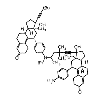 CC(C)N(c1ccc([C@H]2C[C@@]3(C)[C@@H](CC[C@@]3(O)C#CC(C)(C)C)[C@@H]3CCC4=CC(=O)CCC4=C32)cc1)C(C)CC(C)(C)C#C[C@]1(O)CC[C@H]2[C@@H]3CCC4=CC(=O)CCC4=C3[C@@H](c3ccc(N)cc3)C[C@@]21C